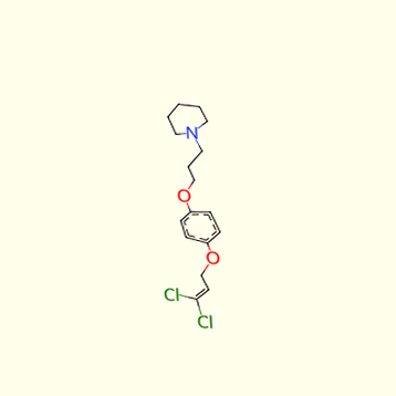 ClC(Cl)=CCOc1ccc(OCCCN2CCCCC2)cc1